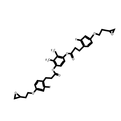 O=C(CCc1ccc(OCCC2CO2)cc1F)Oc1ccc(OC(=O)CCc2ccc(OCCC3CO3)cc2F)c(C(F)(F)F)c1C(F)(F)F